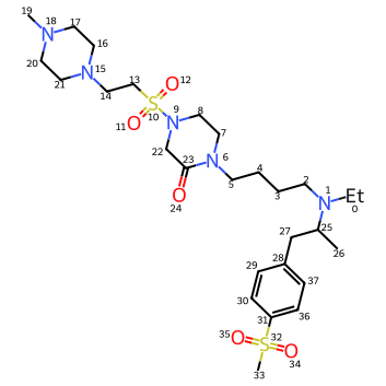 CCN(CCCCN1CCN(S(=O)(=O)CCN2CCN(C)CC2)CC1=O)C(C)Cc1ccc(S(C)(=O)=O)cc1